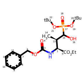 CCOC(=O)[C@@H](NC(=O)OCc1ccccc1)[C@@H](C)C(O)P(=O)(OC(C)(C)C)OC(C)(C)C